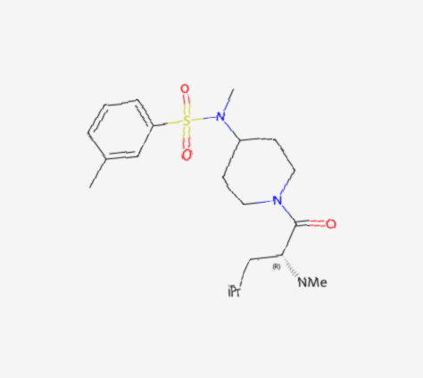 CN[C@H](CC(C)C)C(=O)N1CCC(N(C)S(=O)(=O)c2cccc(C)c2)CC1